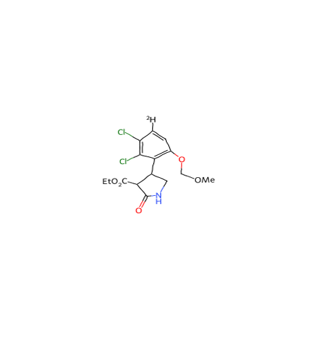 [2H]c1cc(OCOC)c(C2CNC(=O)C2C(=O)OCC)c(Cl)c1Cl